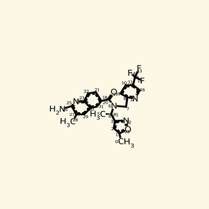 Cc1cc([C@@H](C)N(Cc2ccc(C(F)(F)F)cn2)C(=O)c2ccc3nc(N)c(C)cc3c2)no1